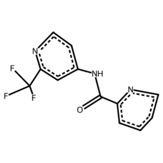 O=C(Nc1ccnc(C(F)(F)F)c1)c1ccccn1